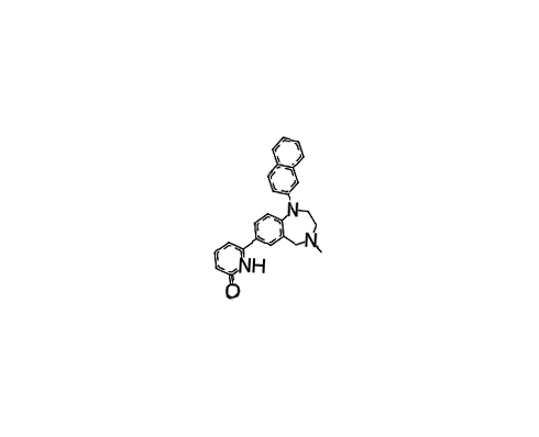 CN1CCN(c2ccc3ccccc3c2)c2ccc(-c3cccc(=O)[nH]3)cc2C1